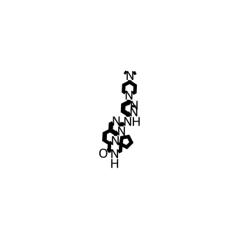 CN(C)C1CCN(c2ccc(Nc3ncc4c(n3)N3C(C=C4)C(=O)NCC34CCCC4)nn2)CC1